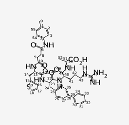 Cc1ccc(NC(=O)CCC(=O)N[C@H](Cc2cccs2)C(=O)N[C@@H](Cc2ccc(-c3ccccc3)cc2)C(=O)N[C@H](CCCNC(=N)N)C(=O)N[C@@H](C)C(=O)O)cc1